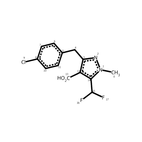 Cn1nc(Cc2ccc(Cl)cc2)c(C(=O)O)c1C(F)F